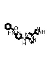 O=C(Nc1ccc(Nc2ncc(-c3cn[nH]c3)n3ncnc23)cn1)c1ccccc1